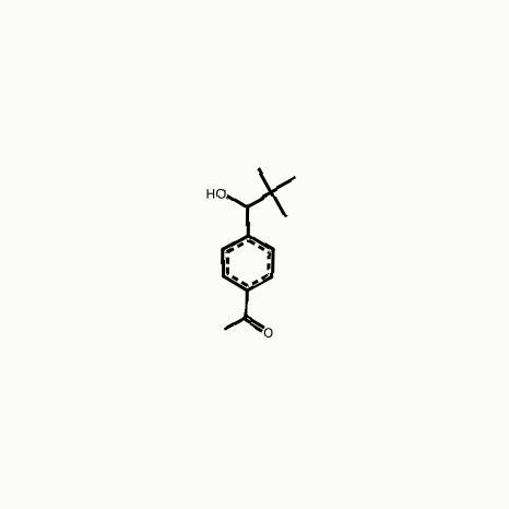 CC(=O)c1ccc(C(O)C(C)(C)C)cc1